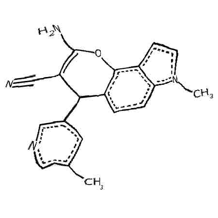 Cc1cncc(C2C(C#N)=C(N)Oc3c2ccc2c3ccn2C)c1